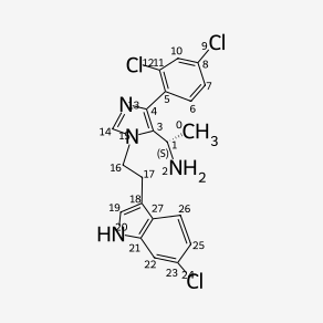 C[C@H](N)c1c(-c2ccc(Cl)cc2Cl)ncn1CCc1c[nH]c2cc(Cl)ccc12